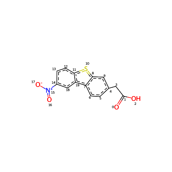 O=C(O)Cc1ccc2c(c1)sc1ccc([N+](=O)[O-])cc12